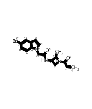 C=CC(=O)N1CC(NC(=O)Cn2ccc3cc(Br)ccc32)C1C